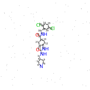 O=C(NCc1ccncc1)Nc1ccc(C(=O)NCc2cc(Cl)ccc2Cl)cc1